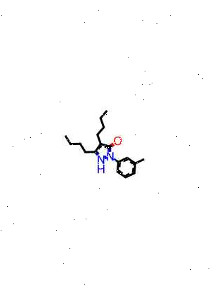 CCCCc1[nH]n(-c2cccc(C)c2)c(=O)c1CCCC